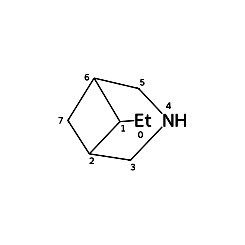 CCC1C2CNCC1C2